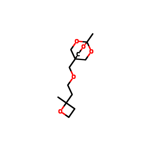 CC1(CCOCC23COC(C)(OC2)OC3)CCO1